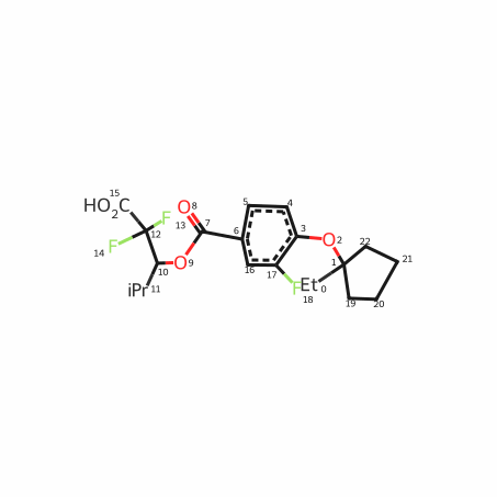 CCC1(Oc2ccc(C(=O)OC(C(C)C)C(F)(F)C(=O)O)cc2F)CCCC1